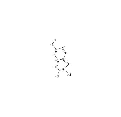 CSc1ncc2cc(Cl)c(Cl)nc2n1